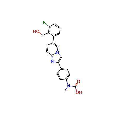 CN(C(=O)O)c1ccc(-c2cn3cc(-c4cccc(F)c4CO)ccc3n2)cc1